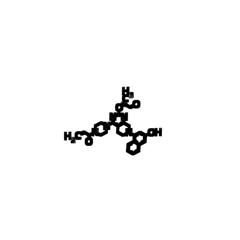 C=CC(=O)N1CCN(c2nc(O[C@H](C)C=O)nc3c2CCN(c2cc(O)cc4ccccc24)C3)CC1